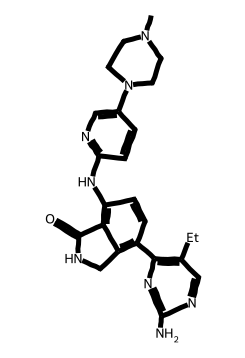 CCc1cnc(N)nc1-c1ccc(Nc2ccc(N3CCN(C)CC3)cn2)c2c1CNC2=O